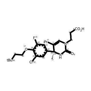 CC(C)C1=CN(CCC(=O)O)C(=O)N[C@@]1(C)c1cc(F)c(OCCC(C)(C)C)c(Cl)c1